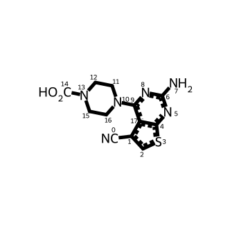 N#Cc1csc2nc(N)nc(N3CCN(C(=O)O)CC3)c12